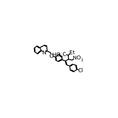 CCC(C(=O)O)C(C[N+](=O)[O-])C(=Cc1ccc(Cl)cc1)c1ccc(OCc2ccc3ccccc3n2)cc1